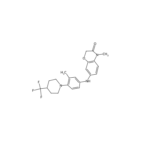 Cc1cc(Nc2ccc3c(c2)OCC(=O)N3C)ccc1N1CCC(C(F)(F)F)CC1